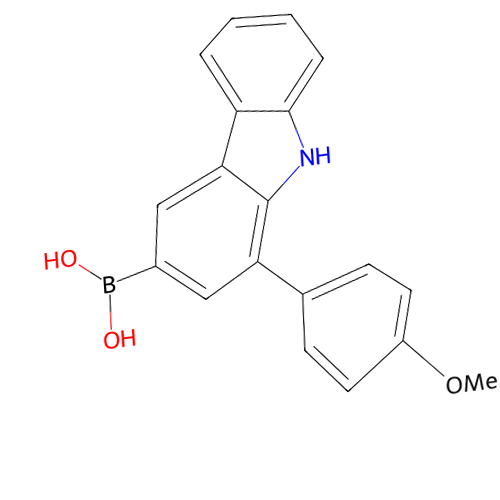 COc1ccc(-c2cc(B(O)O)cc3c2[nH]c2ccccc23)cc1